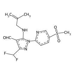 C=C(C)CNc1c(C=O)c(C(F)F)nn1-c1ccc(S(C)(=O)=O)cn1